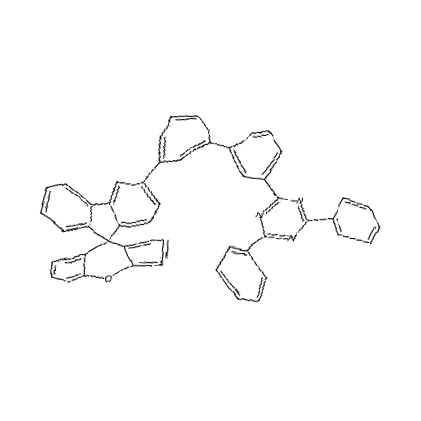 c1ccc(-c2nc(-c3ccccc3)nc(-c3cccc(-c4cccc(-c5ccc6c(c5)-c5ccccc5C65c6ccccc6Oc6ccccc65)c4)c3)n2)cc1